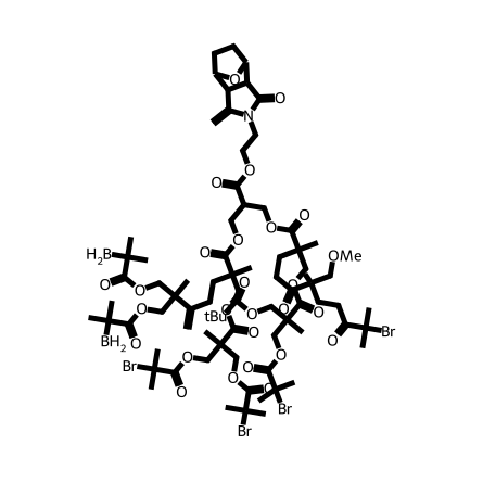 BC(C)(C)C(=O)OCC(C)(COC(=O)C(B)(C)C)C(=C)CCC(C)(COC(=O)C(C)(COC(=O)C(C)(C)Br)COC(=O)C(C)(C)Br)C(=O)OCC(COC(=O)C(C)(CCC(=O)C(C)(CCC(=O)C(C)(C)Br)COC)COC(=O)C(C)(COC(=O)C(C)(C)C)COC(=O)C(C)(C)Br)C(=O)OCCN1C(=C)C2C3CCC(O3)C2C1=O